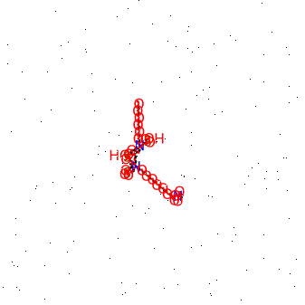 COCCOCCOCCOCCOCCOCCN(CCCS(=O)(=O)O)c1ccc2c(/C=C/C=C3/N(CCOCCOCCOCCOCCOCCOCCC(=O)ON4C(=O)CCC4=O)c4ccc(S(=O)(=O)[O-])cc4C3(C)CCCS(=O)(=O)O)cc[o+]c2c1